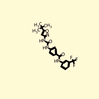 CC(C)(C)c1cc(NC(=O)Nc2ccc(C(=O)Nc3cccc(C(F)(F)F)c3)cc2)no1